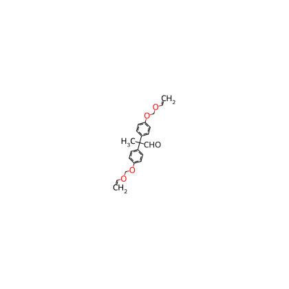 C=COCOc1ccc(C(C)(C=O)c2ccc(OCOC=C)cc2)cc1